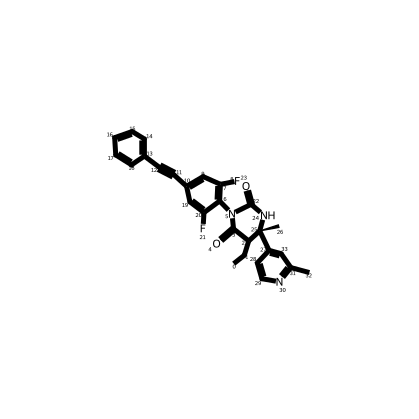 CCC1C(=O)N(c2c(F)cc(C#Cc3ccccc3)cc2F)C(=O)N[C@]1(C)c1ccnc(C)c1